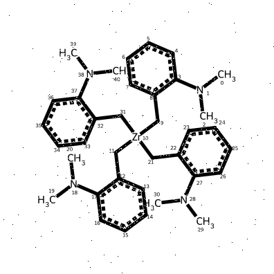 CN(C)c1ccccc1[CH2][Zr]([CH2]c1ccccc1N(C)C)([CH2]c1ccccc1N(C)C)[CH2]c1ccccc1N(C)C